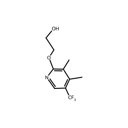 Cc1c(C(F)(F)F)cnc(OCCO)c1C